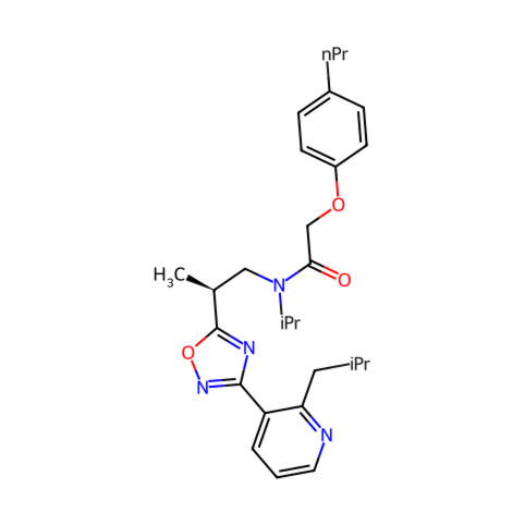 CCCc1ccc(OCC(=O)N(C[C@H](C)c2nc(-c3cccnc3CC(C)C)no2)C(C)C)cc1